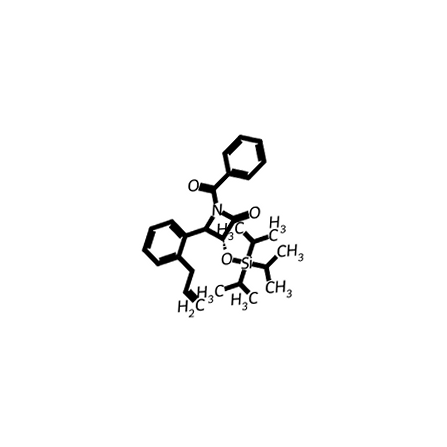 C=CCc1ccccc1C1[C@@H](O[Si](C(C)C)(C(C)C)C(C)C)C(=O)N1C(=O)c1ccccc1